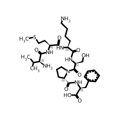 CSCC[C@H](NC(=O)[C@@H](N)C(C)C)C(=O)N[C@@H](CCCCN)C(=O)N[C@@H](CO)C(=O)N1CCC[C@H]1C(=O)N[C@@H](Cc1ccccc1)C(=O)O